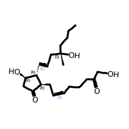 CCCC[C@](C)(O)C/C=C/[C@H]1[C@H](O)CC(=O)[C@@H]1C/C=C\CCCC(=O)CO